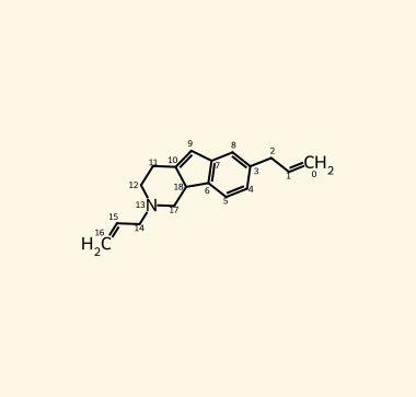 C=CCc1ccc2c(c1)C=C1CCN(CC=C)CC12